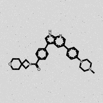 CN1CCN(c2ccc(-c3cnc4[nH]cc(-c5ccc(C(=O)N6CC7(CCOCC7)C6)cc5)c4c3)cc2)CC1